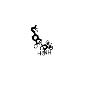 Cc1ccc(-c2ccc3c(c2)CN(CC[C@](C)(C(=O)NO)S(C)(=O)=O)C3=O)s1